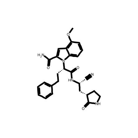 COc1cccc2c1cc(C(N)=O)n2[C@@H](CCc1ccccc1)C(=O)N[C@H](C#N)C[C@@H]1CCNC1=O